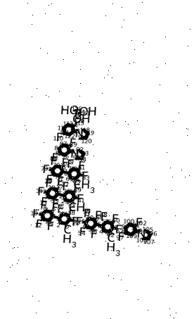 Cc1cc(-c2c(F)c(F)c(F)c(F)c2F)c(F)c(F)c1F.Cc1cc(-c2c(F)c(F)c(F)c(F)c2F)c(F)c(F)c1F.Cc1cc(-c2c(F)c(F)c(F)c(F)c2F)c(F)c(F)c1F.Cc1cc(-c2c(F)c(F)c(F)c(F)c2F)c(F)c(F)c1F.Fc1ccc(F)c(-n2cccc2)c1.Fc1ccc(F)c(-n2cccc2)c1.Fc1ccc(F)c(-n2cccc2)c1.OB(O)O